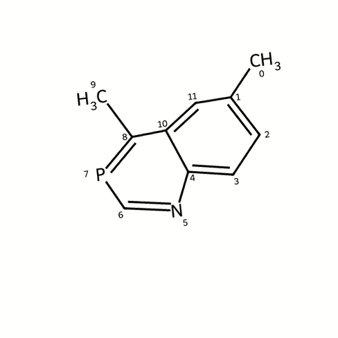 Cc1ccc2ncpc(C)c2c1